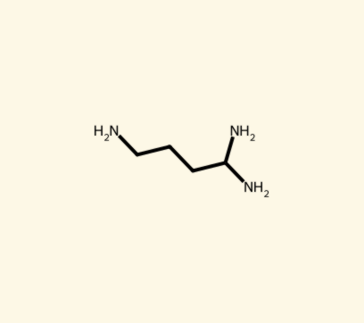 NCCCC(N)N